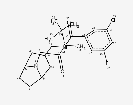 CN(C(=O)CN1C2CCC1CC(CNC(=O)c1cc(F)cc(Cl)c1)C2)C(C)(C)C